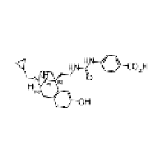 C[C@H]1[C@H]2Cc3ccc(O)cc3[C@@]1(CCNC(=O)Nc1ccc(C(=O)O)cc1)CCN2CC1CC1